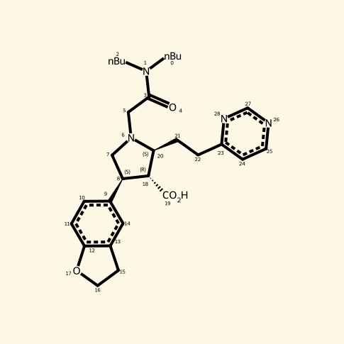 CCCCN(CCCC)C(=O)CN1C[C@H](c2ccc3c(c2)CCO3)[C@@H](C(=O)O)[C@@H]1CCc1ccncn1